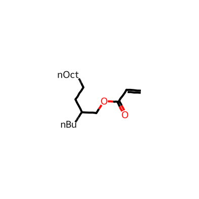 C=CC(=O)OCC(CCCC)CCCCCCCCCC